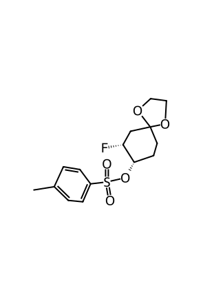 Cc1ccc(S(=O)(=O)O[C@H]2CCC3(C[C@H]2F)OCCO3)cc1